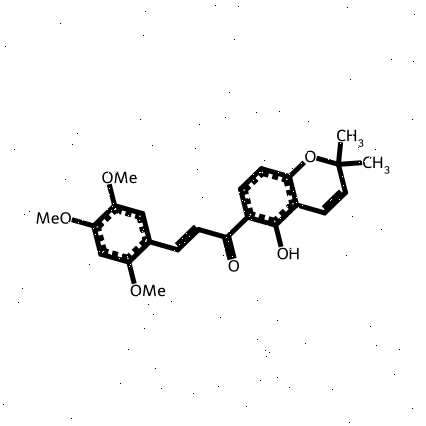 COc1cc(OC)c(OC)cc1C=CC(=O)c1ccc2c(c1O)C=CC(C)(C)O2